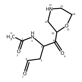 CC(=O)NC(C[C]=O)C(=O)C1CNCCO1